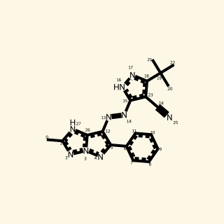 Cc1nn2nc(-c3ccccc3)c(N=Nc3[nH]nc(C(C)(C)C)c3C#N)c2[nH]1